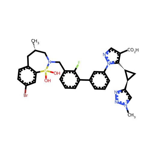 C[C@H]1Cc2ccc(Br)cc2S(O)(O)N(Cc2cccc(-c3cccc(-n4ncc(C(=O)O)c4[C@@H]4C[C@H]4c4cn(C)nn4)c3)c2F)C1